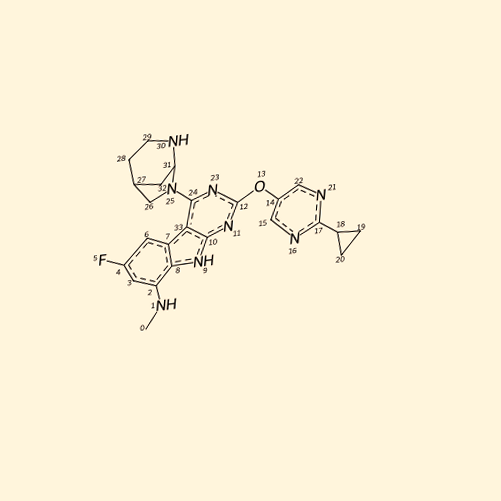 CNc1cc(F)cc2c1[nH]c1nc(Oc3cnc(C4CC4)nc3)nc(N3CC4CCNC3C4)c12